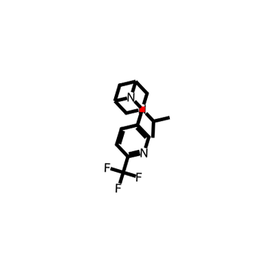 CC(C)N1CC2CC(C1)N2Cc1ccc(C(F)(F)F)nc1